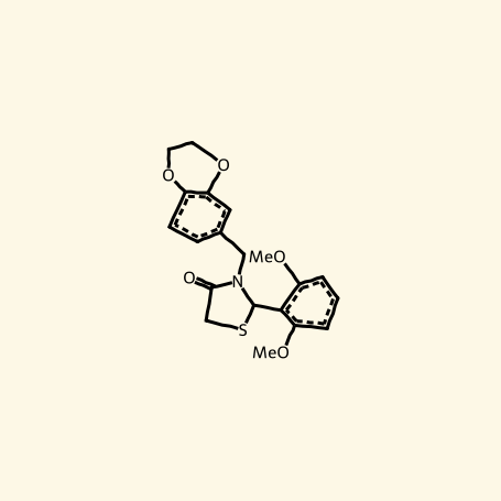 COc1cccc(OC)c1C1SCC(=O)N1Cc1ccc2c(c1)OCCO2